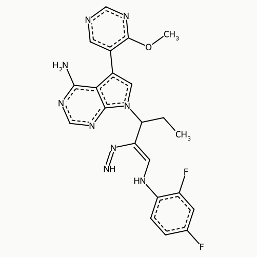 CCC(/C(=C/Nc1ccc(F)cc1F)N=N)n1cc(-c2cncnc2OC)c2c(N)ncnc21